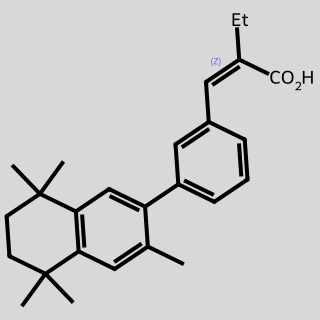 CC/C(=C/c1cccc(-c2cc3c(cc2C)C(C)(C)CCC3(C)C)c1)C(=O)O